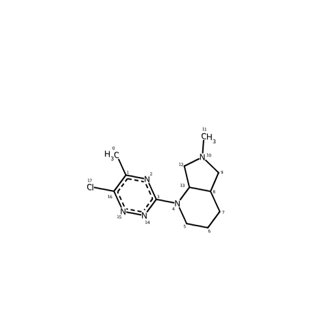 Cc1nc(N2CCCC3CN(C)CC32)nnc1Cl